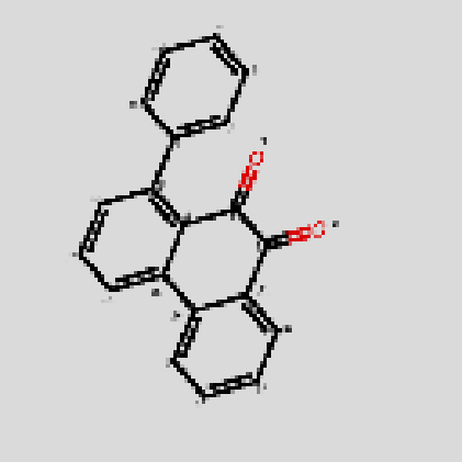 O=C1C(=O)c2c(-c3ccccc3)cccc2-c2ccccc21